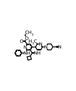 CCOC(=O)c1cc(C2C=CC(N3CCC(C#N)CC3)=NC2C)c(C(=N)C2CCC2)c(Nc2ccccc2)n1